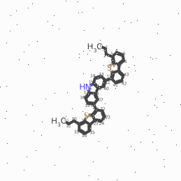 CCCc1cccc2c1sc1c(-c3ccc4[nH]c5ccc(-c6cccc7c6sc6c(CCC)cccc67)cc5c4c3)cccc12